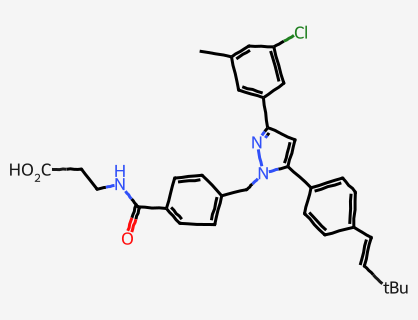 Cc1cc(Cl)cc(-c2cc(-c3ccc(/C=C/C(C)(C)C)cc3)n(Cc3ccc(C(=O)NCCC(=O)O)cc3)n2)c1